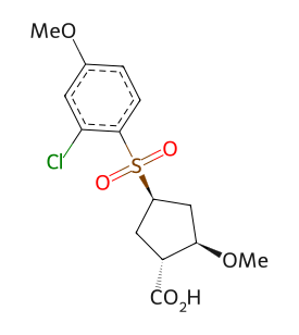 COc1ccc(S(=O)(=O)[C@H]2C[C@@H](OC)[C@H](C(=O)O)C2)c(Cl)c1